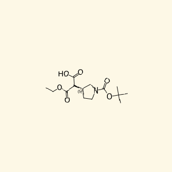 CCOC(=O)C(C(=O)O)[C@@H]1CCN(C(=O)OC(C)(C)C)C1